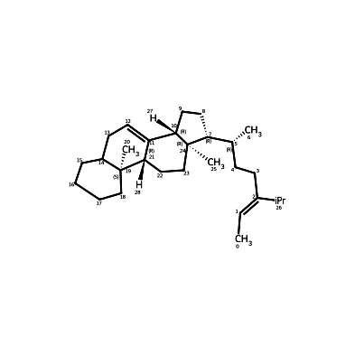 CC=C(CC[C@@H](C)[C@H]1CC[C@H]2C3=CCC4CCCC[C@]4(C)[C@H]3CC[C@]12C)C(C)C